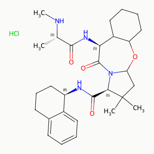 CN[C@@H](C)C(=O)N[C@@H]1C(=O)N2C(CC(C)(C)[C@H]2C(=O)N[C@@H]2CCCc3ccccc32)OC2CCCCC21.Cl